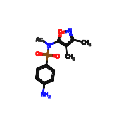 CC(=O)N(c1onc(C)c1C)S(=O)(=O)c1ccc(N)cc1